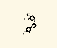 O[C@@H]1CCN(C[C@@H]2CCN(c3ccc(C(F)(F)F)nc3)C2)C[C@H]1O